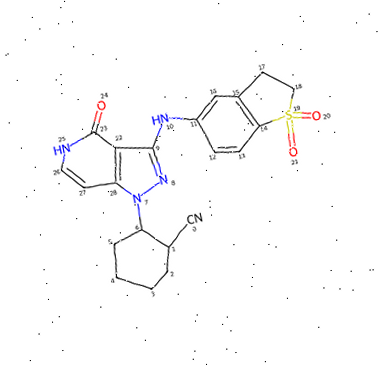 N#CC1CCCCC1n1nc(Nc2ccc3c(c2)CCS3(=O)=O)c2c(=O)[nH]ccc21